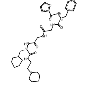 O=C(CNC(=O)[C@H](Cc1ccccc1)NC(=O)c1ccco1)NCC(=O)N[C@@H](CC1CCCCC1)C(=O)NCCN1CCCCC1